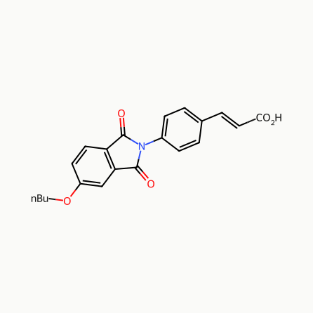 CCCCOc1ccc2c(c1)C(=O)N(c1ccc(C=CC(=O)O)cc1)C2=O